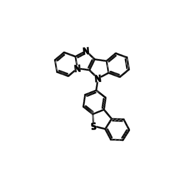 c1ccc2c(c1)sc1ccc(-n3c4ccccc4c4nc5ccccn5c43)cc12